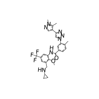 COc1c(CNC2CC2)cc(C(F)(F)F)cc1NC(=O)c1ccc(C)c(-n2cc(-c3cnn(C)c3C)nn2)c1